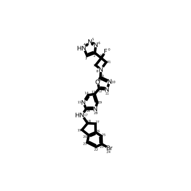 FC1(c2c[nH]nn2)CN(c2nnc(-c3cnc(NC4Cc5ccc(Br)cc5C4)nc3)o2)C1